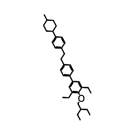 CCc1cc(-c2ccc(CCc3ccc(C4CCC(C)CC4)cc3)cc2)cc(CC)c1OCC(CC)CC